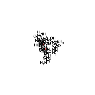 C[n+]1cn([C@@H]2O[C@H](COP(=O)(O)OP(=O)(O)OP(=O)(O)OC[C@@]34CO[C@@H]([C@H](n5cnc6c(N)ncnc65)O3)[C@@H]4OP(=O)(O)OC[C@H]3O[C@@H](n4cnc5c(=O)[nH]c(N)nc54)[C@H](O)[C@@H]3O)[C@@H](O)[C@H]2O)c2nc(N)[nH]c(=O)c21